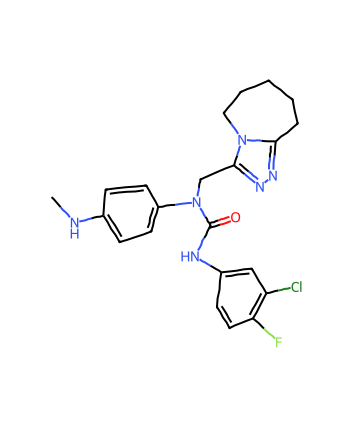 CNc1ccc(N(Cc2nnc3n2CCCCC3)C(=O)Nc2ccc(F)c(Cl)c2)cc1